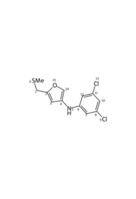 CSCc1cc(Nc2cc(Cl)cc(Cl)c2)[c]o1